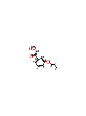 CCCOc1cccc(C(=O)CO)c1